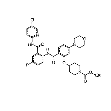 CC(C)(C)OC(=O)N1CCC(Oc2cc(N3CCOCC3)ccc2C(=O)Nc2ccc(F)cc2C(=O)Nc2ccc(Cl)cn2)CC1